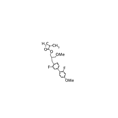 C=C(C)C(=O)OCC(COC)Cc1ccc(-c2ccc(OC)cc2F)cc1F